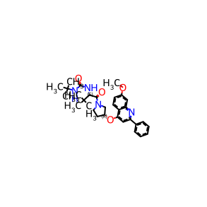 COc1ccc2c(O[C@@H]3CCN(C(=O)[C@@H](NC(=O)NC(C)(C)C)C(C)(C)C)C3)cc(-c3ccccc3)nc2c1